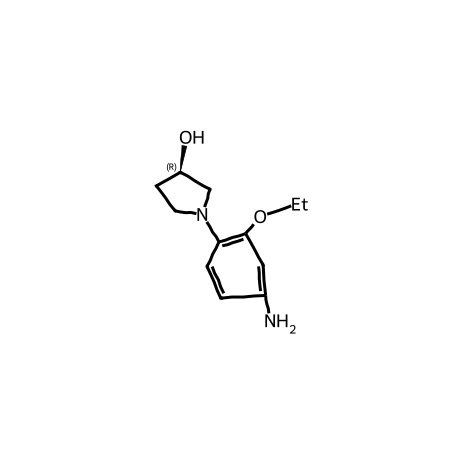 CCOc1cc(N)ccc1N1CC[C@@H](O)C1